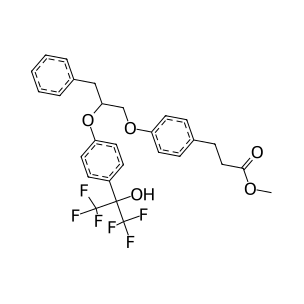 COC(=O)CCc1ccc(OCC(Cc2ccccc2)Oc2ccc(C(O)(C(F)(F)F)C(F)(F)F)cc2)cc1